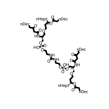 CCCCCCCCCCCC(=O)CC(=O)N[C@H](COCC[C@@H](CCCCCCC)OC(=O)CCCCCCCCCCC)COP(=O)(O)OCCNC(=O)NCCOP(=O)(O)OC[C@H](COCC[C@@H](CCCCCCC)OC(=O)CCCCCCCCCCC)NC(=O)CC(=O)CCCCCCCCCCC